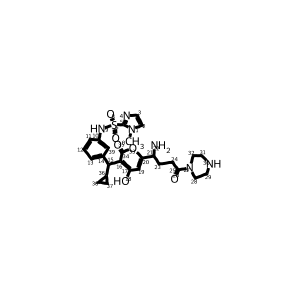 Cn1ccnc1S(=O)(=O)Nc1cccc(C(c2c(O)cc(C(N)CCC(=O)N3CCNCC3)oc2=O)C2CC2)c1